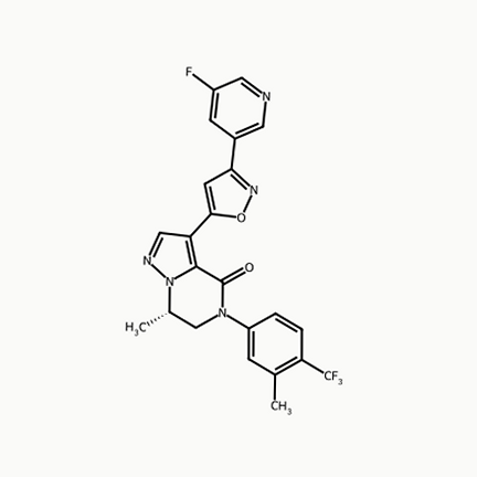 Cc1cc(N2C[C@H](C)n3ncc(-c4cc(-c5cncc(F)c5)no4)c3C2=O)ccc1C(F)(F)F